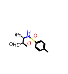 Cc1ccc(S(=O)(=O)N[C@H](C(C)C)[C@@H](C)C=O)cc1